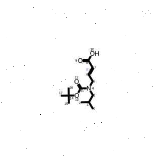 CC(C)CN(C/C=C/C(=O)O)C(=O)OC(C)(C)C